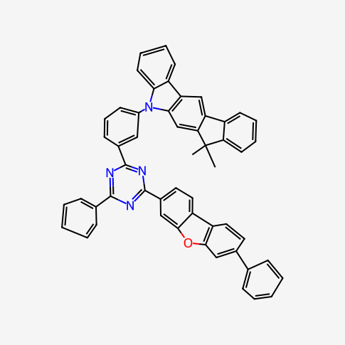 CC1(C)c2ccccc2-c2cc3c4ccccc4n(-c4cccc(-c5nc(-c6ccccc6)nc(-c6ccc7c(c6)oc6cc(-c8ccccc8)ccc67)n5)c4)c3cc21